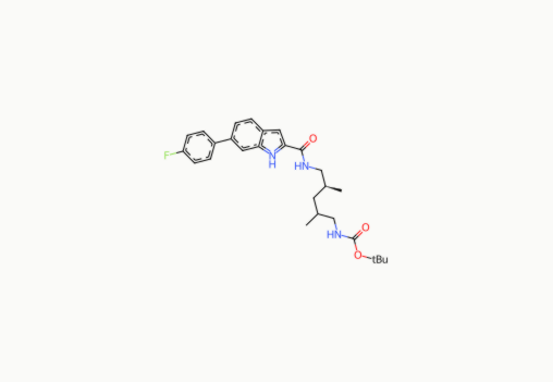 CC(CNC(=O)OC(C)(C)C)C[C@H](C)CNC(=O)c1cc2ccc(-c3ccc(F)cc3)cc2[nH]1